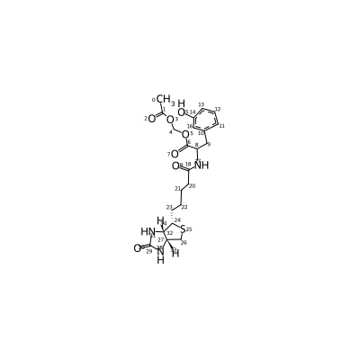 CC(=O)OCOC(=O)C(Cc1cccc(O)c1)NC(=O)CCCC[C@@H]1SC[C@@H]2NC(=O)N[C@@H]21